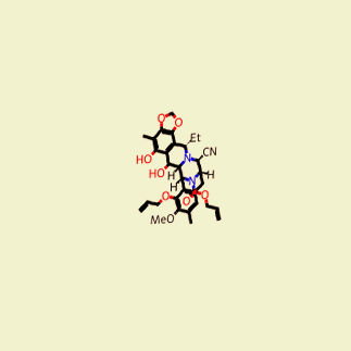 C=CCOC(=O)N1[C@@H]2c3c(cc(C)c(OC)c3OCC=C)C[C@H]1[C@H](C#N)N1[C@@H](CC)c3c4c(c(C)c(O)c3C(O)[C@@H]21)OCO4